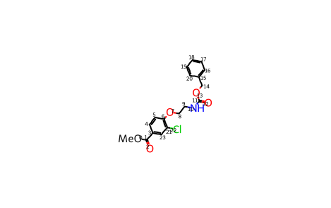 COC(=O)c1ccc(OCCNC(=O)OCc2ccccc2)c(Cl)c1